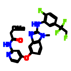 COCC(=O)Nc1cc(Oc2ccc3c(c2)nc(Nc2cc(C(F)(F)CF)ccc2F)n3C)ccn1